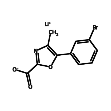 Cc1nc(C(=O)[O-])oc1-c1cccc(Br)c1.[Li+]